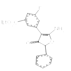 CCOC(=O)c1cc(F)cc(C2=C(N)OC(c3ccccc3)C2=O)c1